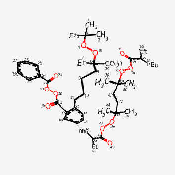 CCC(C)(C)OOC(CC)(CCCCc1ccccc1C(=O)OOC(=O)c1ccccc1)C(=O)O.CCCCC(CC)C(=O)OOC(C)(C)CCC(C)(C)OOC(=O)C(CC)CCCC